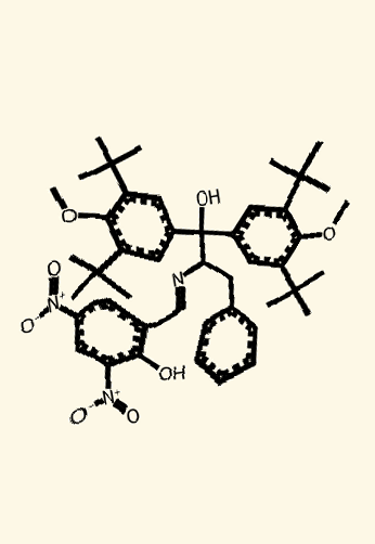 COc1c(C(C)(C)C)cc(C(O)(c2cc(C(C)(C)C)c(OC)c(C(C)(C)C)c2)C(Cc2ccccc2)N=Cc2cc([N+](=O)[O-])cc([N+](=O)[O-])c2O)cc1C(C)(C)C